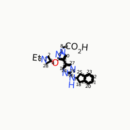 CCN1CC(Oc2nn(CC(=O)O)cc2-c2cnc(NC3Cc4ccccc4C3)nc2)C1